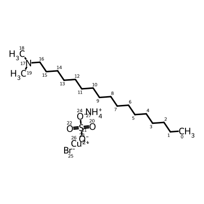 CCCCCCCCCCCCCCCCCN(C)C.O=S(=O)([O-])[O-].[Br-].[Cu+2].[NH4+]